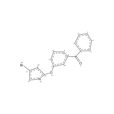 O=C(c1ccccc1)c1cccc(Oc2ncc(Br)s2)c1